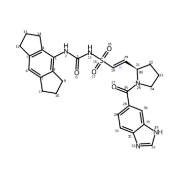 O=C(Nc1c2c(cc3c1CCC3)CCC2)NS(=O)(=O)/C=C/[C@H]1CCCN1C(=O)c1ccc2nc[nH]c2c1